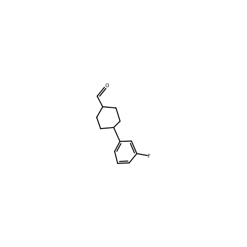 O=CC1CCC(c2cccc(F)c2)CC1